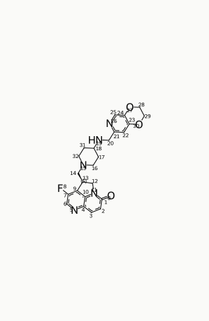 O=c1ccc2ncc(F)c3c2n1C[C@@H]3CN1CCC(NCc2cc3c(cn2)OCCO3)CC1